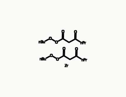 CCCCOOC(=O)CC(=O)CCC.CCCCOOC(=O)CC(=O)CCC.[Zr]